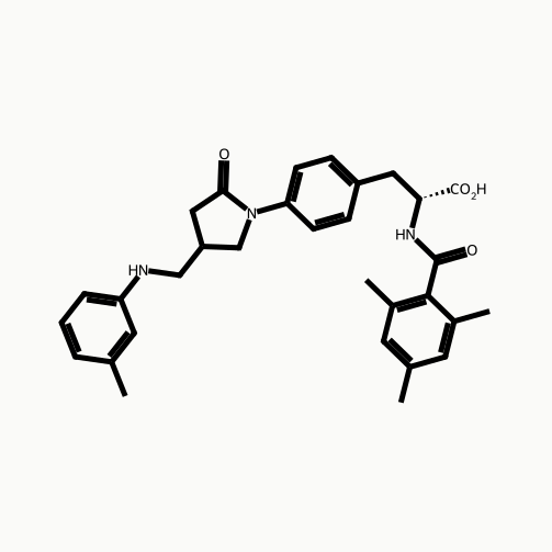 Cc1cccc(NCC2CC(=O)N(c3ccc(C[C@@H](NC(=O)c4c(C)cc(C)cc4C)C(=O)O)cc3)C2)c1